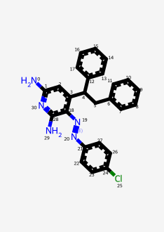 Nc1cc(C(Cc2ccccc2)c2ccccc2)c(/N=N/c2ccc(Cl)cc2)c(N)n1